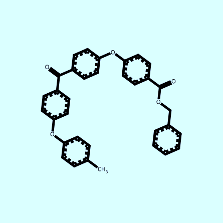 Cc1ccc(Oc2ccc(C(=O)c3ccc(Oc4ccc(C(=O)OCc5ccccc5)cc4)cc3)cc2)cc1